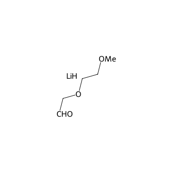 COCCOCC=O.[LiH]